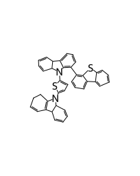 C1=CC2C3=C(CCC=C3)N(c3ccc(N4c5c(-c6cccc7c6sc6ccccc67)cccc5C5C=CC=CC54)s3)C2C=C1